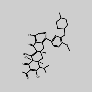 COc1ccc(-c2ccc(O)c3c2C[C@]2(C)C[C@]4(C)C(C(C)C)C(O)=C(C(C)=O)C(=O)[C@]4(O)C(O)=C2C3=O)cc1CC1CCC(C)CC1